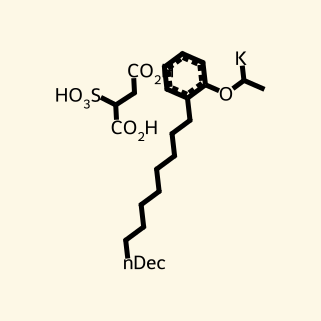 CCCCCCCCCCCCCCCCCCc1ccccc1O[CH](C)[K].O=C(O)CC(C(=O)O)S(=O)(=O)O